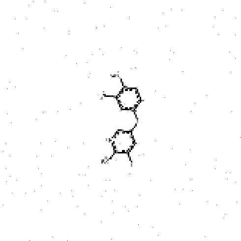 COc1ccc(Oc2cnc(C(F)(F)F)c(F)c2)cc1[N+](=O)[O-]